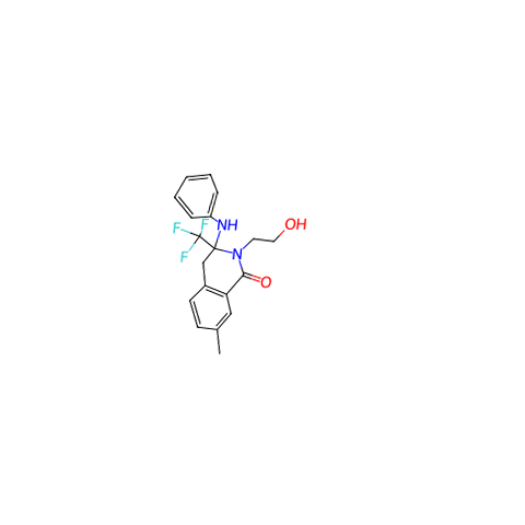 Cc1ccc2c(c1)C(=O)N(CCO)C(Nc1ccccc1)(C(F)(F)F)C2